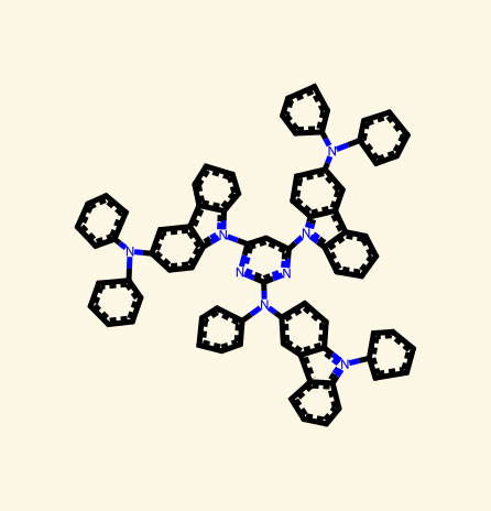 c1ccc(N(c2ccccc2)c2ccc3c(c2)c2ccccc2n3-c2cc(-n3c4ccccc4c4cc(N(c5ccccc5)c5ccccc5)ccc43)nc(N(c3ccccc3)c3ccc4c(c3)c3ccccc3n4-c3ccccc3)n2)cc1